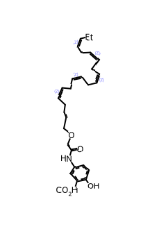 CC/C=C\C/C=C\C/C=C\C/C=C\C/C=C\CCCCOCC(=O)Nc1ccc(O)c(C(=O)O)c1